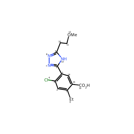 CCc1cc(Cl)c(-c2nnc(CCOC)[nH]2)cc1C(=O)O